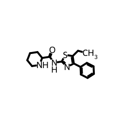 CCc1sc(NC(=O)C2CCCCN2)nc1-c1ccccc1